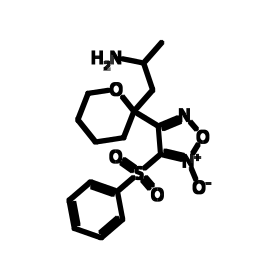 CC(N)CC1(c2no[n+]([O-])c2S(=O)(=O)c2ccccc2)CCCCO1